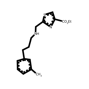 CCOC(=O)c1csc(CNCCCc2cccc(C)c2)n1